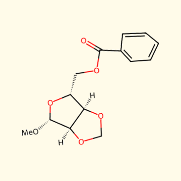 CO[C@@H]1O[C@H](COC(=O)c2ccccc2)[C@H]2OCO[C@@H]12